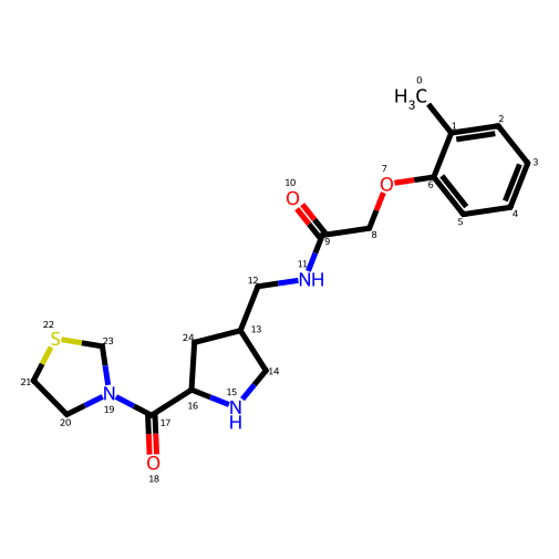 Cc1ccccc1OCC(=O)NCC1CNC(C(=O)N2CCSC2)C1